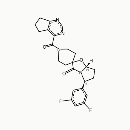 O=C(c1ncnc2c1CCC2)N1CCC2(CC1)O[C@@H]1CC[C@@H](c3cc(F)cc(F)c3)N1C2=O